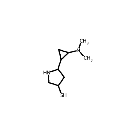 CN(C)C1CC1C1CC(S)CN1